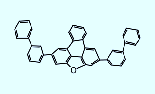 c1ccc(-c2cccc(-c3cc4oc5cc(-c6cccc(-c7ccccc7)c6)cc6c7ccccc7c(c3)c4c56)c2)cc1